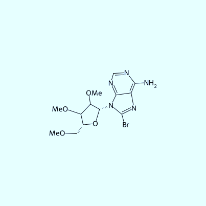 COC[C@H]1O[C@@H](n2c(Br)nc3c(N)ncnc32)C(OC)C1OC